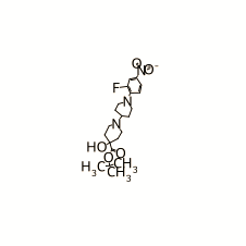 CC(C)(C)OC(=O)C1(O)CCN(C2CCN(c3ccc([N+](=O)[O-])cc3F)CC2)CC1